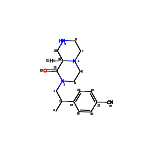 CC(CN1CCN2CCNC[C@@H]2C1=O)c1ccc(C#N)cc1